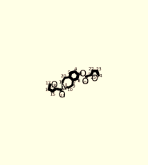 O=C(Oc1ccc2c(c1)CCN(C(=O)c1ccco1)CC2)c1ccco1